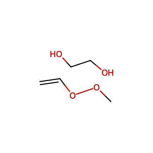 C=COOC.OCCO